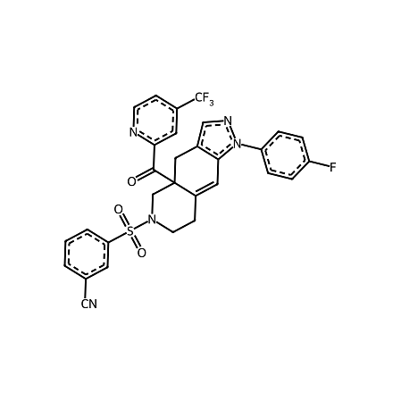 N#Cc1cccc(S(=O)(=O)N2CCC3=Cc4c(cnn4-c4ccc(F)cc4)CC3(C(=O)c3cc(C(F)(F)F)ccn3)C2)c1